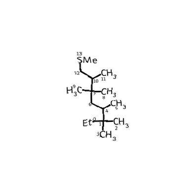 CCC(C)(C)C(C)CC(C)(C)C(C)CSC